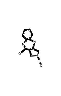 O=C=S1C=c2nc3ccccc3nc(=O)c2=C1